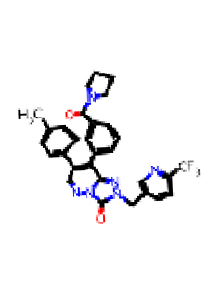 Cc1ccc(-c2cnn3c(=O)n(Cc4ccc(C(F)(F)F)nc4)nc3c2-c2cccc(C(=O)N3CCCC3)c2)cc1